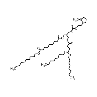 CCCCCCCCCCOC(=O)CCCCCCCC(=O)OCC(COC(=O)CCC(OCCCCCCCC)OCCCCCCCC)COC(=O)OCCC1CCCN1C